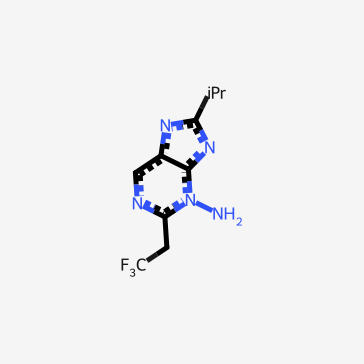 CC(C)c1nc2cnc(CC(F)(F)F)n(N)c-2n1